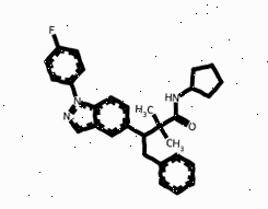 CC(C)(C(=O)NC1CCCC1)C(Cc1ccccc1)c1ccc2c(cnn2-c2ccc(F)cc2)c1